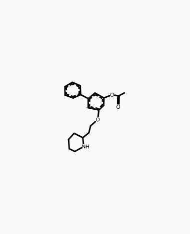 CC(=O)Oc1cc(OCCC2CCCCN2)[c]c(-c2ccccc2)c1